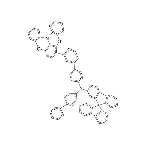 c1ccc(-c2ccc(N(c3ccc(-c4cccc(-c5ccc6c7c5Oc5ccccc5N7c5ccccc5O6)c4)cc3)c3ccc4c(c3)C(c3ccccc3)(c3ccccc3)c3ccccc3-4)cc2)cc1